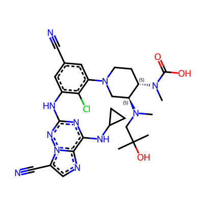 CN(CC(C)(C)O)[C@H]1CN(c2cc(C#N)cc(Nc3nc(NC4CC4)c4ncc(C#N)n4n3)c2Cl)CC[C@@H]1N(C)C(=O)O